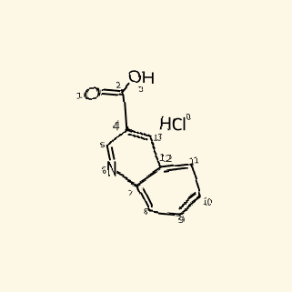 Cl.O=C(O)c1cnc2ccccc2c1